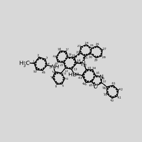 Cc1ccc(Nc2ccccc2-c2c3c4c(c5ccccc25)c2ccc5ccccc5c2n4-c2cc4nc(-c5ccccc5)oc4cc2B3)cc1